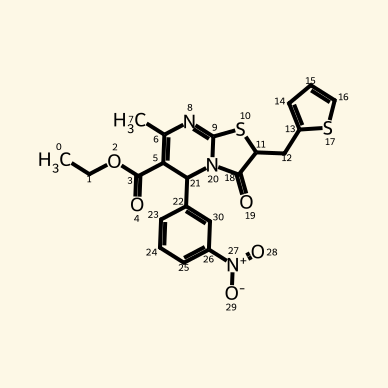 CCOC(=O)C1=C(C)N=C2SC(Cc3cccs3)C(=O)N2C1c1cccc([N+](=O)[O-])c1